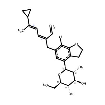 C=C/C(=C\C=C(/C)C1CC1)Cc1cc([C@@H]2O[C@H](CO)[C@@H](O)[C@H](O)[C@H]2O)c2c(c1Cl)OCC2